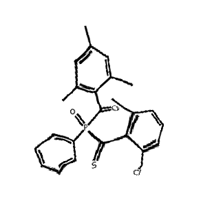 Cc1cc(C)c(C(=O)P(=O)(C(=S)c2c(C)cccc2Cl)c2ccccc2)c(C)c1